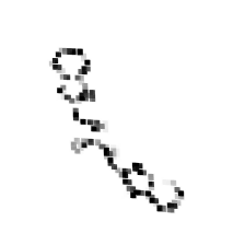 O=C(NCc1nc2ccccc2s1)NCc1nc2ccccc2s1